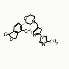 Cc1cn(-c2ncc(CN3CCO[C@@H](c4ccc5c(c4C)COC5=O)C3)s2)cn1